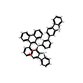 c1ccc(-c2c(N(c3cccc(-c4ccc5c(c4)oc4ccccc45)c3)c3cccc4c3sc3ccccc34)c3ccccc3c3ccccc23)cc1